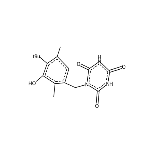 Cc1cc(Cn2c(=O)[nH]c(=O)[nH]c2=O)c(C)c(O)c1C(C)(C)C